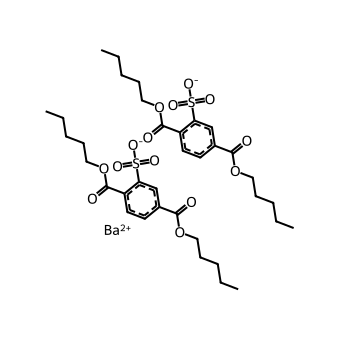 CCCCCOC(=O)c1ccc(C(=O)OCCCCC)c(S(=O)(=O)[O-])c1.CCCCCOC(=O)c1ccc(C(=O)OCCCCC)c(S(=O)(=O)[O-])c1.[Ba+2]